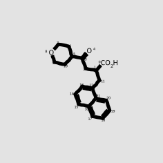 O=C(O)C(CC(=O)C1CCOCC1)Cc1cccc2ccccc12